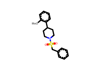 COc1ccccc1C1CCN(S(=O)(=O)Cc2ccccc2)CC1